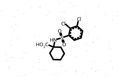 O=C(O)C1(NS(=O)(=O)c2cccc(Cl)c2Cl)CCCCC1